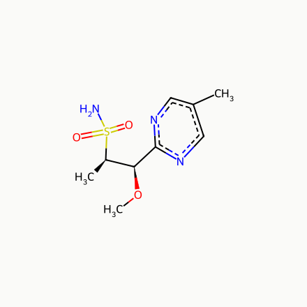 CO[C@H](c1ncc(C)cn1)[C@@H](C)S(N)(=O)=O